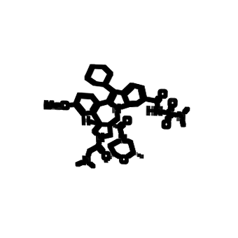 COc1ccc2c(c1)[C@H]1CN(C(=O)CN(C)C)C[C@]1(C(=O)N1C[C@@H](C)O[C@@H](C)C1)Cn1c-2c(C2CCCCC2)c2ccc(C(=O)NS(=O)(=O)N(C)C)cc21